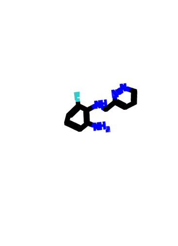 Nc1cccc(F)c1NCc1cccnn1